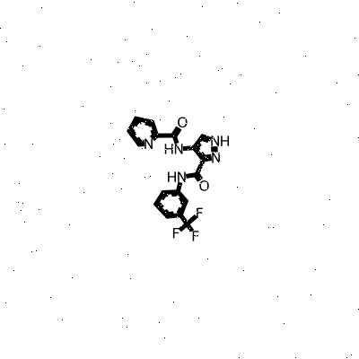 O=C(Nc1c[nH]nc1C(=O)Nc1cccc(C(F)(F)F)c1)c1ccccn1